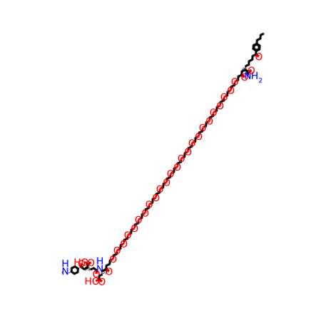 CCCCc1ccc(C(=O)CCCCC[C@H](CC(=O)CCOCCOCCOCCOCCOCCOCCOCCOCCOCCOCCOCCOCCOCCOCCOCCOCCOCCOCCOCCOCCOCCOCCOCCOCCCC(=O)[C@H](CCC(=O)O)NC(=O)CC[C@H](CC(=O)[C@H]2CC[C@@H](CNC)CC2)C(=O)O)C(N)=O)cc1